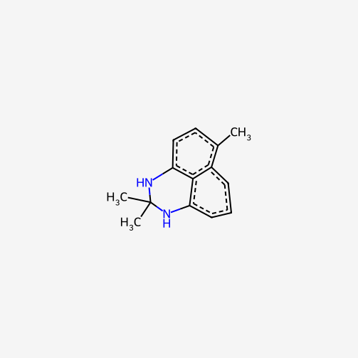 Cc1ccc2c3c(cccc13)NC(C)(C)N2